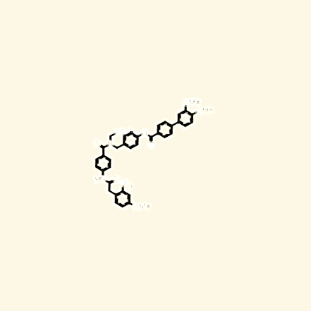 COc1ccc(CC(=O)Nc2ccc(C(=O)N(CC(=O)O)Cc3ccc(OC(=O)c4ccc(-c5ccc(OC)c(OC)c5)cc4)cc3)cc2)c(C(F)(F)F)c1